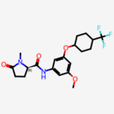 COc1cc(NC(=O)[C@H]2CCC(=O)N2C)cc(OC2CCC(C(F)(F)F)CC2)c1